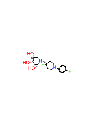 OC1[C@H](O)CN(CC2(F)CCN(c3ccc(F)cc3)CC2)C[C@@H]1O